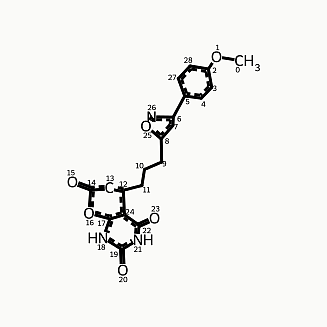 COc1ccc(-c2cc(CCCc3cc(=O)oc4[nH]c(=O)[nH]c(=O)c34)on2)cc1